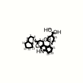 CC(CC(=O)N1CCCC2CCCCC21)c1c[nH]c2cccc(N3CCC(C(O)O)CC3)c12